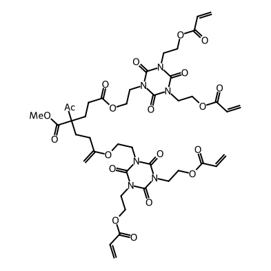 C=CC(=O)OCCn1c(=O)n(CCOC(=C)CCC(CCC(=O)OCCn2c(=O)n(CCOC(=O)C=C)c(=O)n(CCOC(=O)C=C)c2=O)(C(C)=O)C(=O)OC)c(=O)n(CCOC(=O)C=C)c1=O